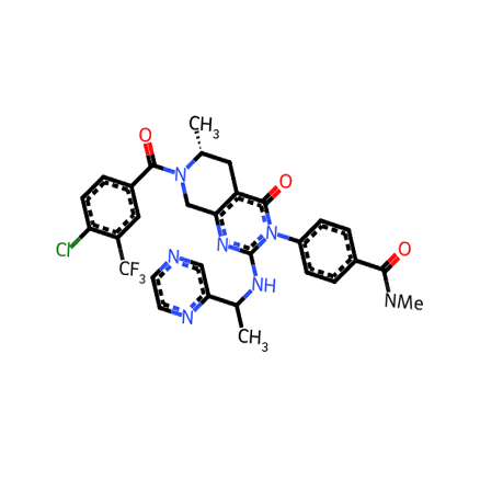 CNC(=O)c1ccc(-n2c(NC(C)c3cnccn3)nc3c(c2=O)C[C@@H](C)N(C(=O)c2ccc(Cl)c(C(F)(F)F)c2)C3)cc1